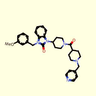 COc1cccc(Cn2c(=O)n(C3CCN(C(=O)C4CCN(Cc5ccncc5)CC4)CC3)c3ccccc32)c1